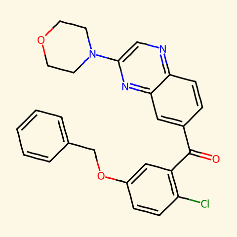 O=C(c1ccc2ncc(N3CCOCC3)nc2c1)c1cc(OCc2ccccc2)ccc1Cl